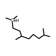 CC(C)CCCC(C)C[CH2][GeH]([CH3])[CH3]